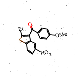 CCc1sc2ccc([N+](=O)[O-])cc2c1C(=O)c1ccc(OC)cc1